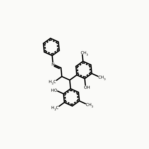 Cc1cc(C)c(O)c(C(c2cc(C)cc(C)c2O)C(C)/C=N/c2ccccc2)c1